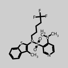 Cc1c(N(CCCCC(F)(F)F)S(=O)(=O)c2cnccc2N(C)C)sc2ccccc12